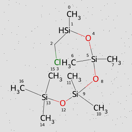 C[SiH](CCl)O[Si](C)(C)O[Si](C)(C)O[Si](C)(C)C